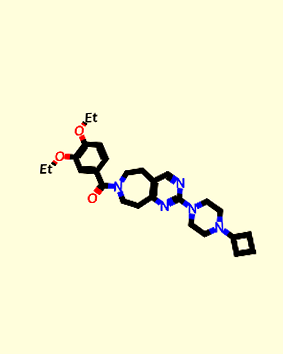 CCOc1ccc(C(=O)N2CCc3cnc(N4CCN(C5CCC5)CC4)nc3CC2)cc1OCC